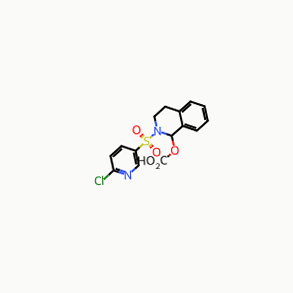 O=C(O)OC1c2ccccc2CCN1S(=O)(=O)c1ccc(Cl)nc1